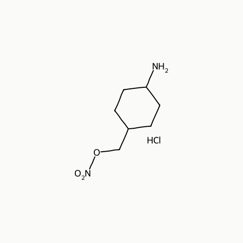 Cl.NC1CCC(CO[N+](=O)[O-])CC1